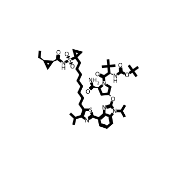 CC[C@@H]1C[C@@H]1C(=O)NS(=O)(=O)C1(CCCCCCCCc2sc(-c3cccc4c3nc(O[C@@H]3C[C@@H](C(N)=O)N(C(=O)[C@@H](NC(=O)OC(C)(C)C)C(C)(C)C)C3)n4C(C)C)nc2C(C)C)CC1